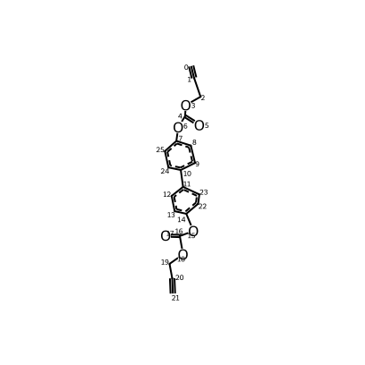 C#CCOC(=O)Oc1ccc(-c2ccc(OC(=O)OCC#C)cc2)cc1